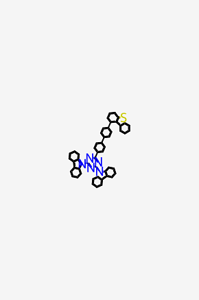 c1ccc2c(c1)sc1cccc(-c3ccc(-c4ccc(-c5nc(-n6c7ccccc7c7ccccc76)nc(-n6c7ccccc7c7ccccc76)n5)cc4)cc3)c12